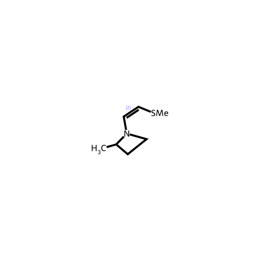 CS/C=C\N1CCC1C